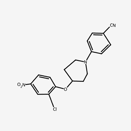 N#Cc1ccc(N2CCC(Oc3ccc([N+](=O)[O-])cc3Cl)CC2)cc1